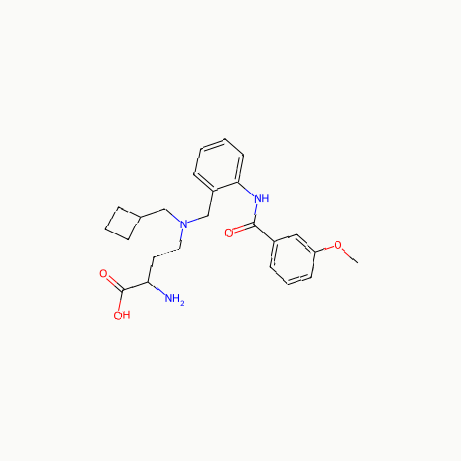 COc1cccc(C(=O)Nc2ccccc2CN(CCC(N)C(=O)O)CC2CCC2)c1